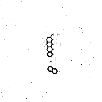 C[C@H]1c2ccc(NC(=S)Nc3cccc4ccccc34)c(O)c2C(=O)C2=C(O)[C@]3(O)C(=O)C(C(N)=O)=C(O)[C@@H](N(C)C)[C@@H]3[C@@H](O)[C@@H]21